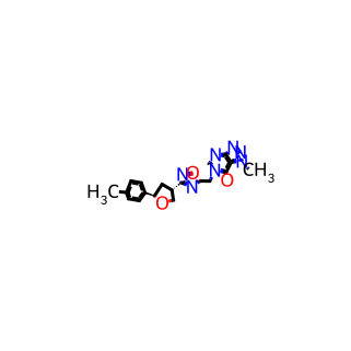 Cc1ccc([C@H]2C[C@H](c3noc(Cn4cnc5nnn(C)c5c4=O)n3)CO2)cc1